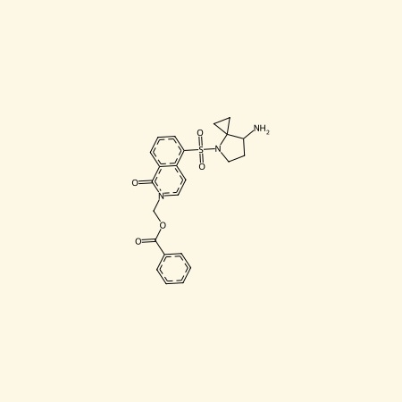 NC1CCN(S(=O)(=O)c2cccc3c(=O)n(COC(=O)c4ccccc4)ccc23)C12CC2